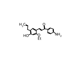 C=CCc1cc(C=CC(=O)c2ccc(N)cc2)c(OCC)cc1O